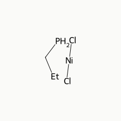 CCCP.[Cl][Ni][Cl]